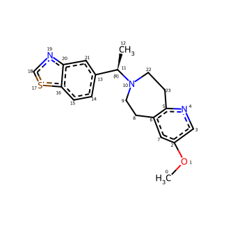 COc1cnc2c(c1)CCN([C@H](C)c1ccc3scnc3c1)CC2